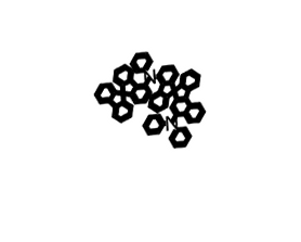 c1ccc(N(c2cccc3c2-c2ccccc2C32c3ccccc3-c3ccccc32)c2cccc3c2-c2ccccc2C32c3ccccc3-c3c2cc(N(c2ccccc2)c2ccccc2)c2ccccc32)cc1